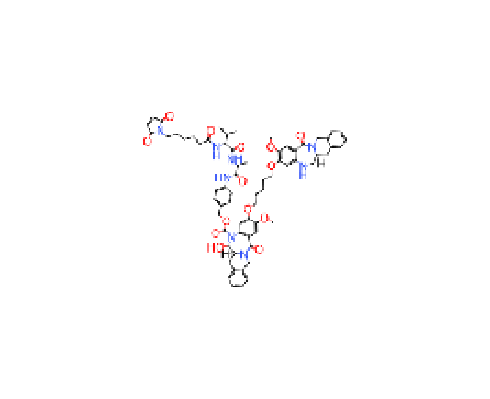 COc1cc2c(cc1OCCCCCOc1cc3c(cc1OC)C(=O)N1Cc4ccccc4C[C@H]1C(O)N3C(=O)OCc1ccc(NC(=O)[C@H](C)NC(=O)[C@@H](NC(=O)CCCCCN3C(=O)C=CC3=O)C(C)C)cc1)NC[C@@H]1Cc3ccccc3CN1C2=O